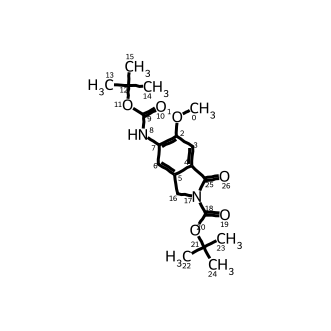 COc1cc2c(cc1NC(=O)OC(C)(C)C)CN(C(=O)OC(C)(C)C)C2=O